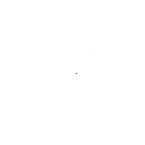 O=C(NC[C@@H]1CCN(CC2OCCO2)C[C@H]1O)c1cc(Cl)c(Br)c2c1OCCCO2